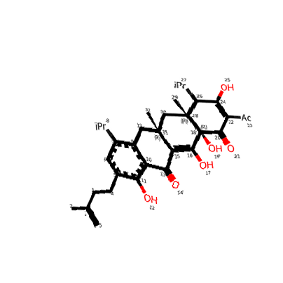 C=C(C)CCc1cc(C(C)C)c2c(c1O)C(=O)C1=C(O)[C@@]3(O)C(=O)C(C(C)=O)=C(O)C(C(C)C)[C@@]3(C)C[C@@]1(C)C2